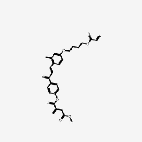 C=CC(=O)OCCCCOc1ccc(/C=C/C(=O)c2ccc(OC(=O)C(=C)CC(=O)OC)cc2)c(C)c1